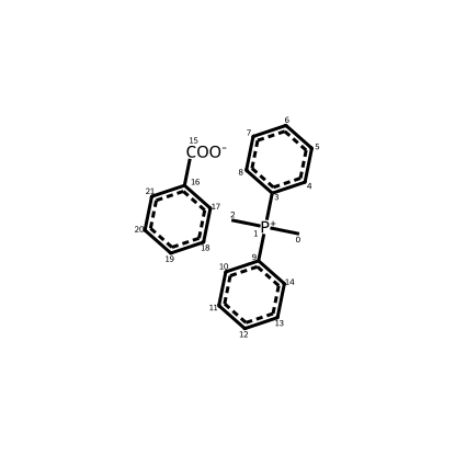 C[P+](C)(c1ccccc1)c1ccccc1.O=C([O-])c1ccccc1